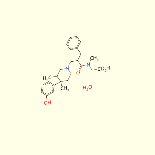 CC1CN(CC(Cc2ccccc2)C(=O)N(C)CC(=O)O)CCC1(C)c1cccc(O)c1.O